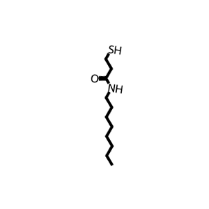 CCCCCCCCNC(=O)CCS